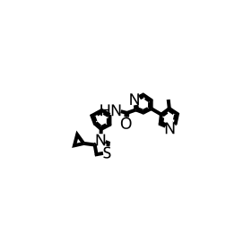 Cc1ccncc1-c1ccnc(C(=O)Nc2cccc(N3CSCC3C3CC3)c2)c1